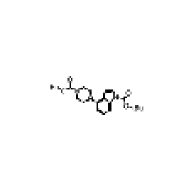 CC(C)(C)OC(=O)N1CCN(c2cccc3c2ccn3C(=O)OC(C)(C)C)CC1